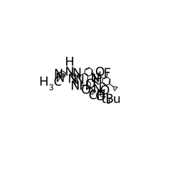 CC(NC(=O)OC(C)(C)C)C(=O)OCc1c(-c2nc(N)nc(Nc3cnn(C)c3)n2)cccc1-n1ccc2cc(C3CC3)cc(F)c2c1=O